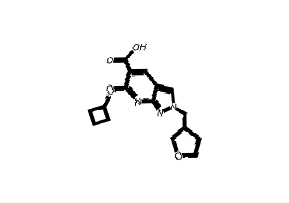 O=C(O)c1cc2cn(CC3CCOC3)nc2nc1OC1CCC1